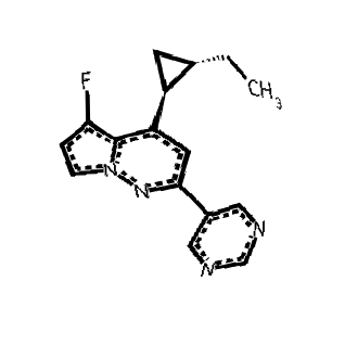 CC[C@H]1C[C@@H]1c1cc(-c2cncnc2)nn2ccc(F)c12